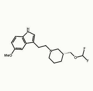 COc1ccc2[nH]cc(CCN3CCC[C@@H](COC(F)F)C3)c2c1